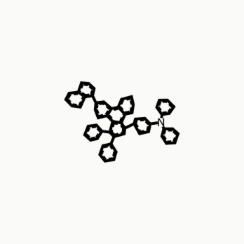 c1ccc(-c2cc(-c3ccc(N(c4ccccc4)c4ccccc4)cc3)c3c4ccccc4c4cc(-c5cccc6ccccc56)ccc4c3c2-c2ccccc2)cc1